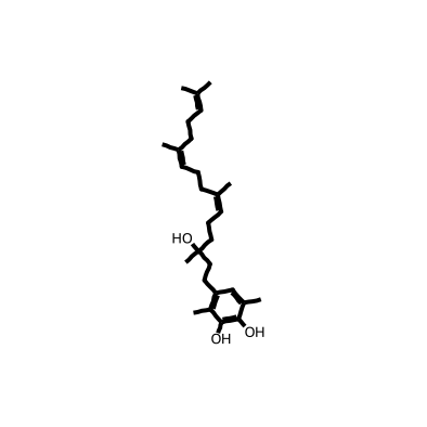 CC(C)=CCCC(C)=CCCC(C)=CCCC(C)(O)CCc1cc(C)c(O)c(O)c1C